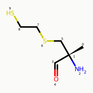 C[C@@](N)(C=O)CSCCS